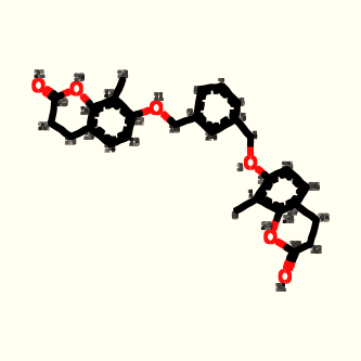 Cc1c(OCc2cccc(COc3ccc4c(c3C)OC(=O)CC4)c2)ccc2c1OC(=O)CC2